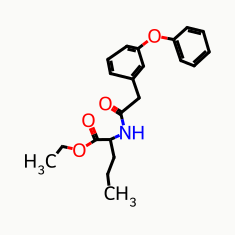 CCCC(NC(=O)Cc1cccc(Oc2ccccc2)c1)C(=O)OCC